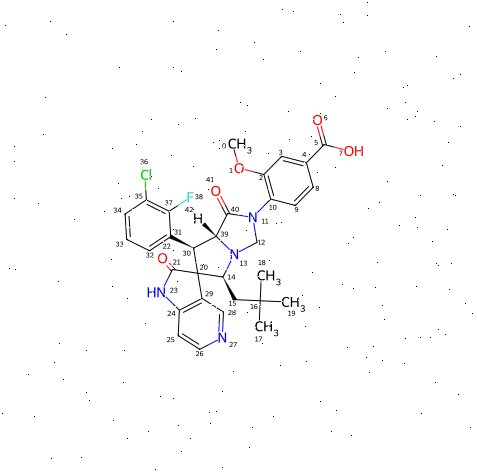 COc1cc(C(=O)O)ccc1N1CN2[C@@H](CC(C)(C)C)C3(C(=O)Nc4ccncc43)[C@@H](c3cccc(Cl)c3F)[C@@H]2C1=O